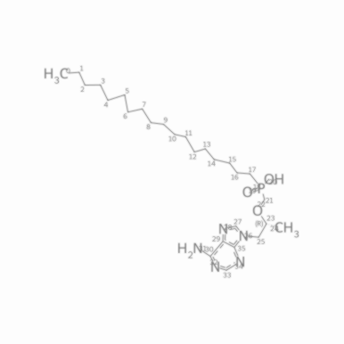 CCCCCCCCCCCCCCCCCCP(=O)(O)CO[C@H](C)Cn1cnc2c(N)ncnc21